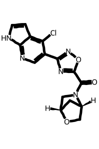 O=C(c1nc(-c2cnc3[nH]ccc3c2Cl)no1)N1C[C@@H]2C[C@H]1CO2